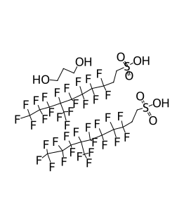 O=S(=O)(O)CCC(F)(F)C(F)(F)C(F)(F)C(F)(F)C(F)(C(F)(F)F)C(F)(F)C(F)(F)C(F)(F)F.O=S(=O)(O)CCC(F)(F)C(F)(F)C(F)(F)C(F)(F)C(F)(C(F)(F)F)C(F)(F)C(F)(F)C(F)(F)F.OCCCO